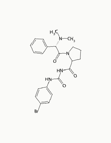 CN(C)[C@H](C(=O)N1CCCC1C(=O)NC(=O)Nc1ccc(Br)cc1)c1ccccc1